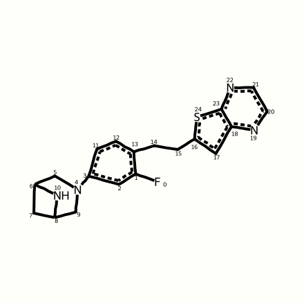 Fc1cc(N2CC3CC(C2)N3)ccc1CCc1cc2nccnc2s1